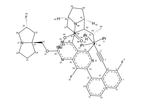 CC(C)[Si](C#Cc1c(F)ccc2cccc(-c3nc4c5c(nc(OC[C@@]67CCCN6C[C@H](F)C7)nc5c3F)N3C[C@H]5CC[C@@H]([C@H]3[C@H](C)C4)N5C(=O)OC(C)(C)C)c12)(C(C)C)C(C)C